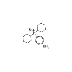 B.Br[PH](c1ccccc1)(C1CCCCC1)C1CCCCC1